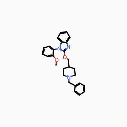 COc1ccccc1-n1c(OCC2CCN(Cc3ccccc3)CC2)nc2ccccc21